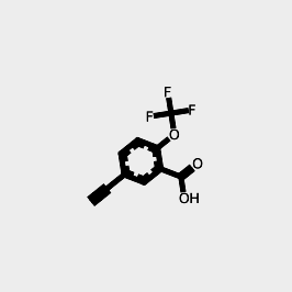 C#Cc1ccc(OC(F)(F)F)c(C(=O)O)c1